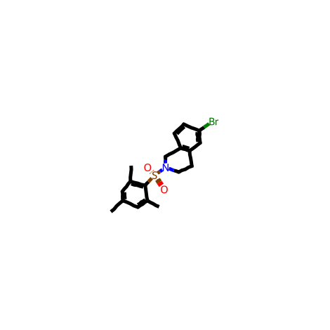 Cc1cc(C)c(S(=O)(=O)N2CCc3cc(Br)ccc3C2)c(C)c1